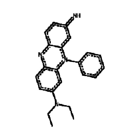 CCN(CC)c1ccc2nc3ccc(=N)cc-3n(-c3ccccc3)c2c1